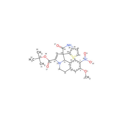 COc1cc2c(cc1[N+](=O)[O-])C1N(CC2)C(C(=O)OC(C)(C)C)=CC1(C(N)=O)c1cccs1